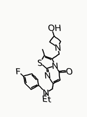 CCN(Cc1cc(=O)n2c(CN3CC(O)C3)c(C)sc2n1)c1ccc(F)cc1